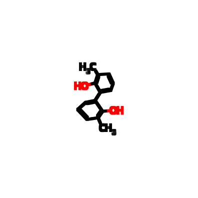 Cc1cccc(-c2cccc(C)c2O)c1O